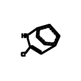 ClC1=Cc2ccc(cc2)N1